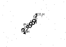 CC(C)C1=C2C(CC[C@]3(C)[C@@H]2CC[C@@H]2[C@@]4(C)CC[C@H](OC(=O)CC(C)(C)C(=O)O)C(C)(C)[C@@H]4CC[C@]23C)[C@H](CCNC2(c3ccccn3)CC2)C1=O